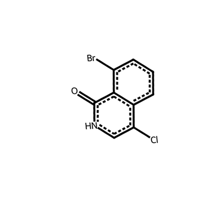 O=c1[nH]cc(Cl)c2cccc(Br)c12